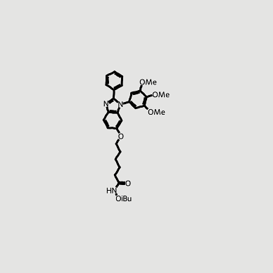 COc1cc(-n2c(-c3ccccc3)nc3ccc(OCCCCCC(=O)NOCC(C)C)cc32)cc(OC)c1OC